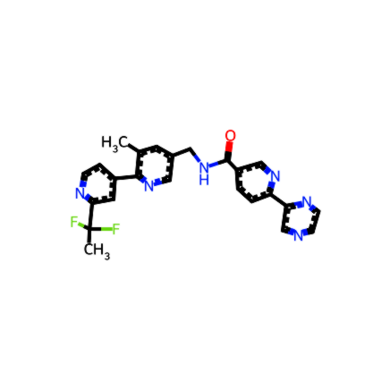 Cc1cc(CNC(=O)c2ccc(-c3cnccn3)nc2)cnc1-c1ccnc(C(C)(F)F)c1